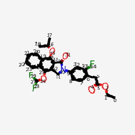 CCOC(=O)Cc1ccc(N2Cc3c(c(OC(C)C)c4ccccc4c3OC(F)F)C2=O)cc1F